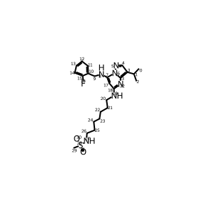 CC(C)c1cnn2c(NCc3ccccc3F)cc(NCCCCCCCNS(C)(=O)=O)nc12